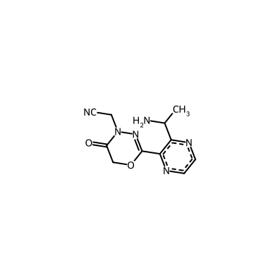 CC(N)c1nccnc1C1=NN(CC#N)C(=O)CO1